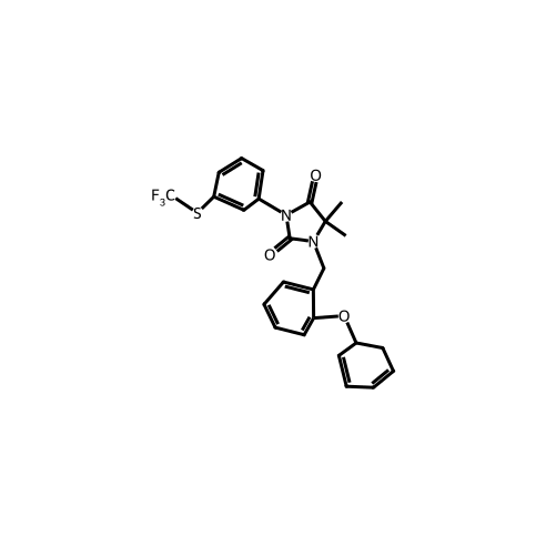 CC1(C)C(=O)N(c2cccc(SC(F)(F)F)c2)C(=O)N1Cc1ccccc1OC1C=CC=CC1